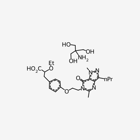 CCCc1nn(C)c2c(=O)n(CCOc3ccc(CC(OCC)C(=O)O)cc3)c(C)nc12.NC(CO)(CO)CO